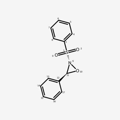 O=S(=O)(c1ccccc1)[N@]1O[C@H]1c1ccccc1